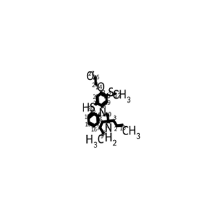 CCCCC(N)(CCCC)CN(c1c#cccc1)c1cc(SC)c(OCC=O)cc1S